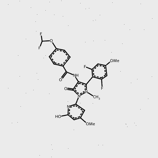 COc1cc(O)nc(-n2c(=O)c(NC(=O)c3ccc(OC(F)F)cc3)c(-c3c(F)cc(OC)cc3F)n2C)c1